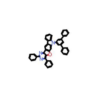 c1ccc(-c2cc(-c3ccccc3)cc(-n3c4ccccc4c4cc5c(cc43)oc3c(-c4ccccc4)nc(-c4ccccc4)nc35)c2)cc1